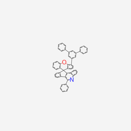 c1ccc(-c2cc(-c3ccccc3)cc(-c3cccc4c3Oc3ccccc3C43c4ccccc4-c4c(-c5ccccc5)nc5ccccc5c43)c2)cc1